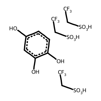 O=S(=O)(O)CC(F)(F)F.O=S(=O)(O)CC(F)(F)F.O=S(=O)(O)CC(F)(F)F.Oc1ccc(O)c(O)c1